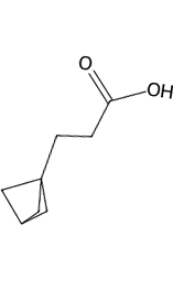 O=C(O)CCC12CC(C1)C2